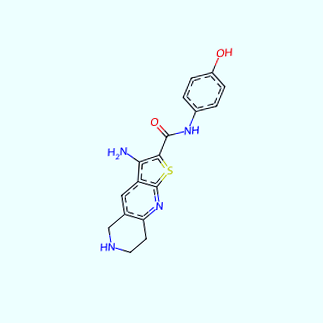 Nc1c(C(=O)Nc2ccc(O)cc2)sc2nc3c(cc12)CNCC3